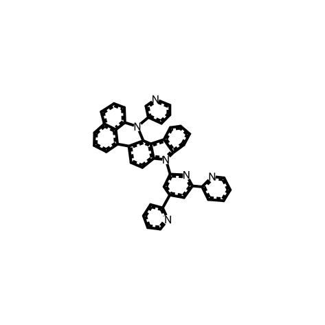 c1ccc(-c2cc(-c3ccccn3)nc(-n3c4ccccc4c4c5c(ccc43)-c3cccc4cccc(c34)N5c3cccnc3)c2)nc1